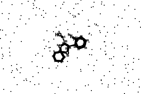 OC[C@H]1OC2(CCCCC2)O[C@@H]1c1ccccc1F